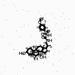 CC[C@H]1[C@@H](O)[C@@H]2[C@H](CC[C@]3(C)[C@@H]([C@H](C)CNC(=O)NS(=O)(=O)c4ccc(OC(F)(F)F)cc4)CC[C@@H]23)[C@@]2(C)CC[C@@H](O)C[C@@H]12